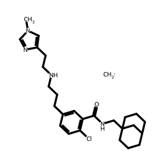 Cn1cnc(CCNCCCc2ccc(Cl)c(C(=O)NCC34CCCC(CCC3)C4)c2)c1.[CH2]